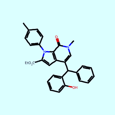 CCOC(=O)c1cc2c(C(c3ccccc3)c3ccccc3O)cn(C)c(=O)c2n1-c1ccc(C)cc1